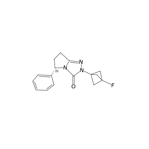 O=c1n(C23CC(F)(C2)C3)nc2n1[C@H](c1ccccc1)CC2